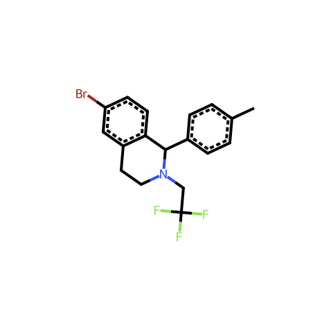 Cc1ccc(C2c3ccc(Br)cc3CCN2CC(F)(F)F)cc1